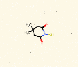 CC1(C)CC(=O)N(S)C(=O)C1